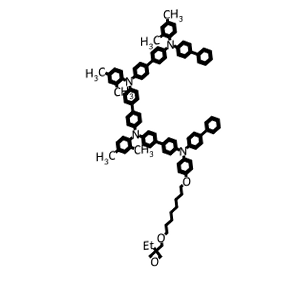 CCC1(COCCCCCCCCOc2ccc(N(c3ccc(-c4ccccc4)cc3)c3ccc(-c4ccc(N(c5ccc(-c6ccc(N(c7ccc(-c8ccc(N(c9ccc(-c%10ccccc%10)cc9)c9ccc(C)cc9C)cc8)cc7)c7ccc(C)cc7C)cc6)cc5)c5ccc(C)cc5C)cc4)cc3)cc2)COC1